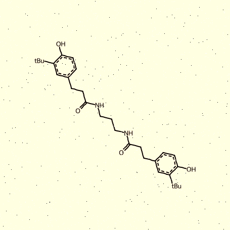 CC(C)(C)c1cc(CCC(=O)NCCCNC(=O)CCc2ccc(O)c(C(C)(C)C)c2)ccc1O